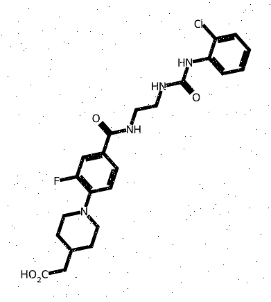 O=C(O)CC1CCN(c2ccc(C(=O)NCCNC(=O)Nc3ccccc3Cl)cc2F)CC1